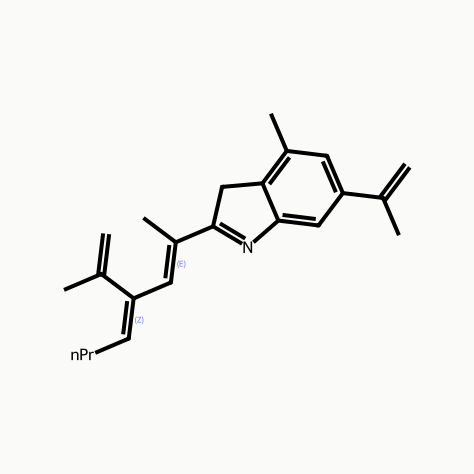 C=C(C)C(=C\CCC)/C=C(\C)C1=Nc2cc(C(=C)C)cc(C)c2C1